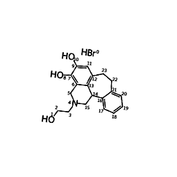 Br.OCCN1Cc2c(O)c(O)cc3c2C(C1)c1ccccc1CC3